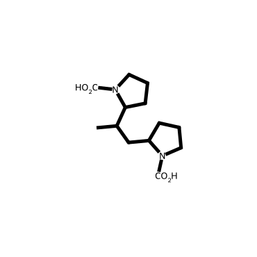 CC(CC1CCCN1C(=O)O)C1CCCN1C(=O)O